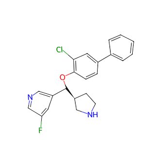 Fc1cncc(C(Oc2ccc(-c3ccccc3)cc2Cl)[C@H]2CCNC2)c1